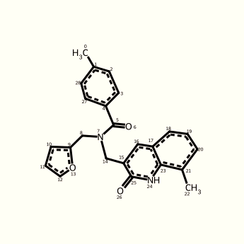 Cc1ccc(C(=O)N(Cc2ccco2)Cc2cc3cccc(C)c3[nH]c2=O)cc1